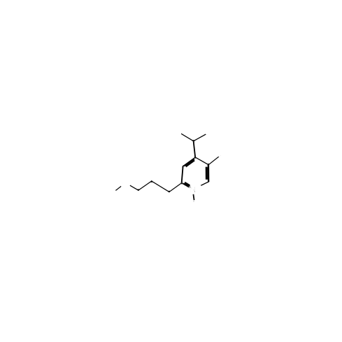 COCCCc1cc(C(C)C)c(Cl)c[n+]1[O-]